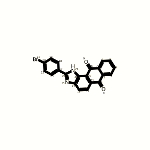 O=C1c2ccccc2C(=O)c2c1ccc1nc(-c3ccc(Br)cc3)[nH]c21